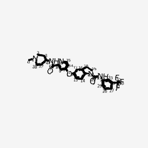 CN1CCC(NC(=O)c2cc(Oc3ccc4c(c3)CCN4C(=O)Nc3cccc(C(F)(F)F)c3)ccn2)CC1